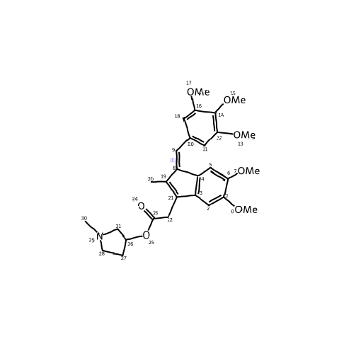 COc1cc2c(cc1OC)/C(=C\c1cc(OC)c(OC)c(OC)c1)C(C)=C2CC(=O)OC1CCN(C)C1